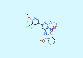 CCOc1ncc(-c2cc(N(C)CC3(COC)CCCCC3)c([N+](=O)[O-])c(N)n2)cc1C(F)(F)F